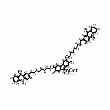 CCCCCCCCC1(CCCCCCCC)c2cc(C)c(OCCCCCCCCc3ccc4c(c3)c(=O)c3ccccc3n4C)cc2-c2cc(OCCCCCCCCc3ccc4c(c3)c(=O)c3ccccc3n4C)c(C)cc21